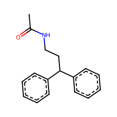 CC(=O)NCCC(c1ccccc1)c1ccccc1